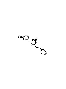 O=C1C=C(/C=C/c2ccccc2)O[C@H](C[C@H]2CC=CC(=O)O2)C1